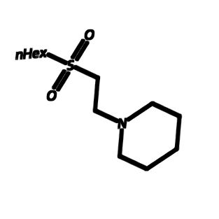 CCCCCCS(=O)(=O)CCN1CCCCC1